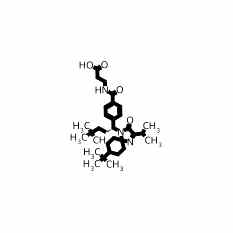 CC(C)C1=NC2(CCC(C(C)(C)C)CC2)N([C@H](CCC(C)(C)C)c2ccc(C(=O)NCCC(=O)O)cc2)C1=O